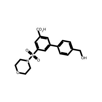 O=C(O)c1cc(-c2ccc(CO)cc2)cc(S(=O)(=O)N2CCOCC2)c1